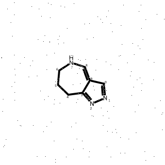 C1=NN=C2CCCNC=C12